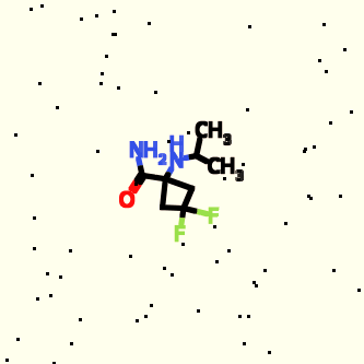 CC(C)NC1(C(N)=O)CC(F)(F)C1